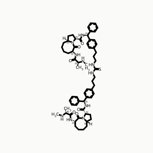 CN[C@@H](C)C(=O)N[C@H]1CCCC[C@H]2CC[C@@H](C(=O)N[C@@H](c3ccccc3)c3ccc(CCCNC(=S)NCCCc4ccc([C@@H](NC(=O)[C@@H]5CC[C@@H]6CCCC[C@H](NC(=O)[C@@H](C)NC)C(=O)N65)c5ccccc5)cc4)cc3)N2C1=O